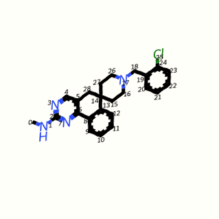 CNc1ncc2c(n1)-c1ccccc1C1(CCN(Cc3ccccc3Cl)CC1)C2